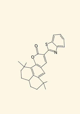 CC1(C)CCC2CCC(C)(C)c3c2c1cc1cc(-c2nc4ccccc4s2)c(=O)oc31